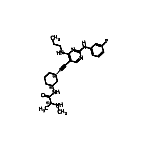 CCCNc1nc(Nc2cccc(F)c2)ncc1C#C[C@H]1CCC[C@H](NC(=O)[C@H](C)NC)C1